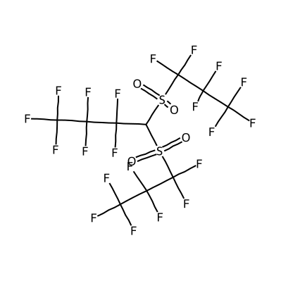 O=S(=O)(C(C(F)(F)C(F)(F)C(F)(F)F)S(=O)(=O)C(F)(F)C(F)(F)C(F)(F)F)C(F)(F)C(F)(F)C(F)(F)F